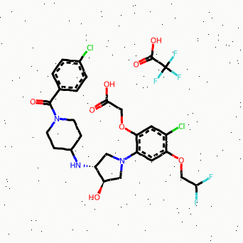 O=C(O)C(F)(F)F.O=C(O)COc1cc(Cl)c(OCC(F)F)cc1N1C[C@@H](O)[C@H](NC2CCN(C(=O)c3ccc(Cl)cc3)CC2)C1